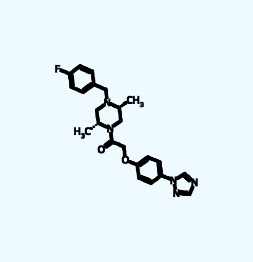 C[C@@H]1CN(Cc2ccc(F)cc2)[C@@H](C)CN1C(=O)COc1ccc(-n2cncn2)cc1